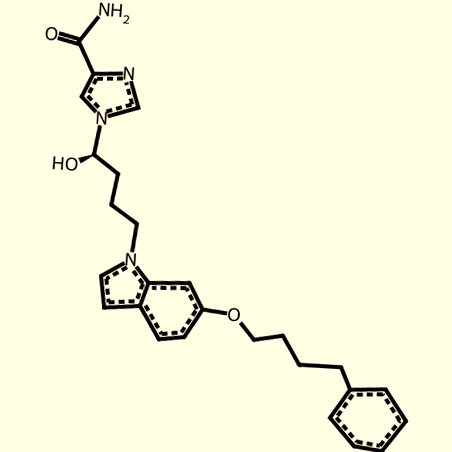 NC(=O)c1cn([C@H](O)CCCn2ccc3ccc(OCCCCc4ccccc4)cc32)cn1